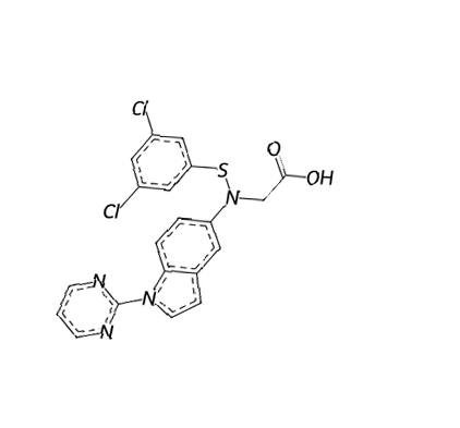 O=C(O)CN(Sc1cc(Cl)cc(Cl)c1)c1ccc2c(ccn2-c2ncccn2)c1